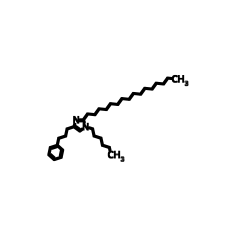 CCCCCCCCCCCCCCCCc1nc(CCCc2ccccc2)cn1CCCCCC